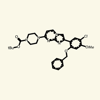 COc1cc(OCc2ccccc2)c(-c2cn3ccc(N4CCN(C(=O)OC(C)(C)C)CC4)nc3n2)cc1Cl